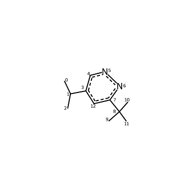 CC(C)c1cnnc(C(C)(C)C)c1